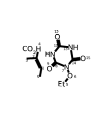 CC=C(C)C(=O)O.CCOn1c(=O)[nH]c(=O)[nH]c1=O